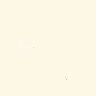 COc1ccc(-n2ncc(C)c2-c2ccc(O)cc2)cc1